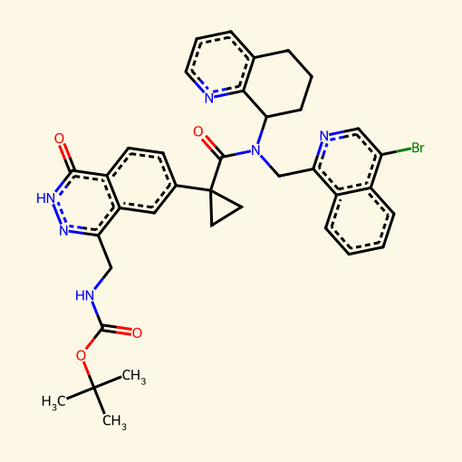 CC(C)(C)OC(=O)NCc1n[nH]c(=O)c2ccc(C3(C(=O)N(Cc4ncc(Br)c5ccccc45)C4CCCc5cccnc54)CC3)cc12